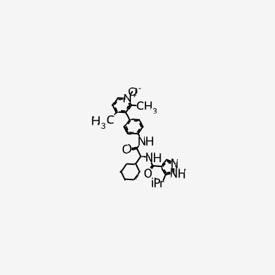 Cc1cc[n+]([O-])c(C)c1-c1ccc(NC(=O)[C@@H](NC(=O)c2cn[nH]c2C(C)C)C2CCCCC2)cc1